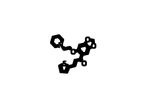 O=C(C=Cc1cccs1)c1cc2c(cc1OCCN1CCCCC1)OCO2